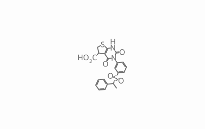 CC(c1ccccc1)S(=O)(=O)c1cccc(-n2c(=O)[nH]c3c(c2=O)C(C(=O)O)CS3)c1